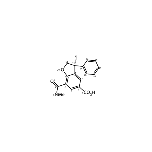 CNC(=O)c1cc(C(=O)O)cc2c1OC[C@@]2(C)c1ccccc1